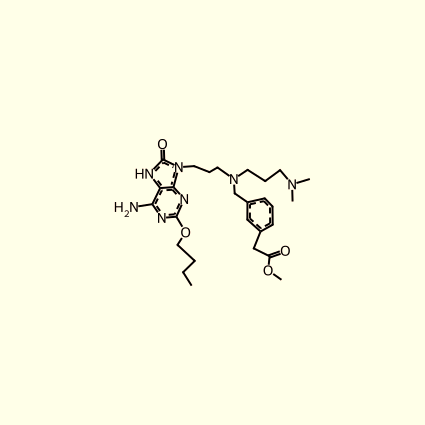 CCCCOc1nc(N)c2[nH]c(=O)n(CCCN(CCCN(C)C)Cc3cccc(CC(=O)OC)c3)c2n1